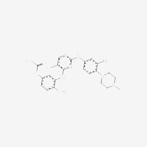 COc1ccc(OC(N)=O)cc1Nc1nc(Nc2ccc(N3CCN(C)CC3)c([N+](=O)[O-])c2)ncc1Cl